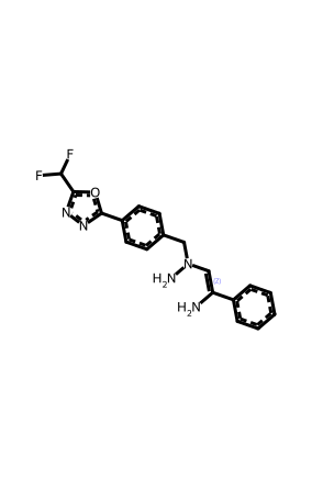 N/C(=C\N(N)Cc1ccc(-c2nnc(C(F)F)o2)cc1)c1ccccc1